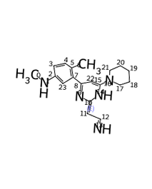 CNc1ccc(C)c(C2=N/C(=C/C=N)NC(N3CCCCC3)=C2)c1